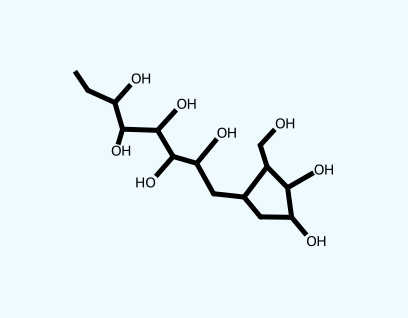 CCC(O)C(O)C(O)C(O)C(O)CC1CC(O)C(O)C1CO